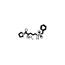 NC(CCCNS(=O)(=O)Cc1ccccc1)C(=O)N1CCCC1